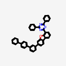 c1ccc(-c2ccc(-c3cccc(-c4ccc5c(c4)oc4c(-c6nc(-c7ccccc7)nc(-c7ccccc7)n6)cccc45)c3)cc2)cc1